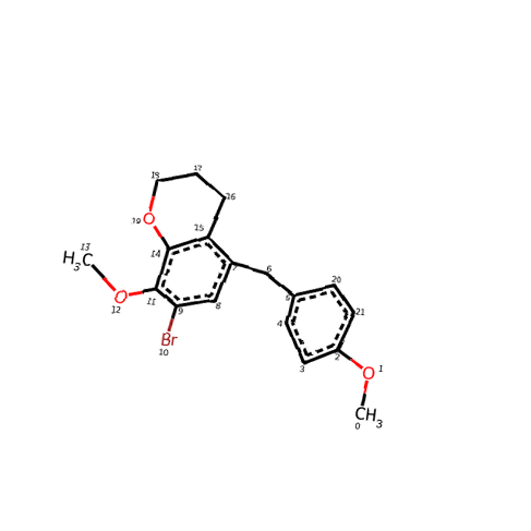 COc1ccc(Cc2cc(Br)c(OC)c3c2CCCO3)cc1